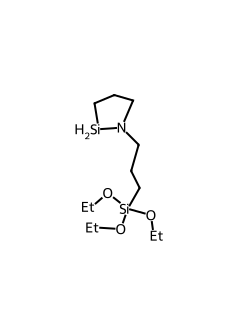 CCO[Si](CCCN1CCC[SiH2]1)(OCC)OCC